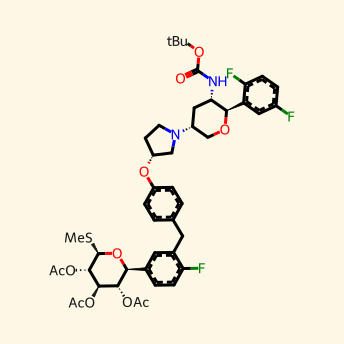 CS[C@H]1O[C@@H](c2ccc(F)c(Cc3ccc(O[C@@H]4CCN([C@H]5CO[C@H](c6cc(F)ccc6F)[C@@H](NC(=O)OC(C)(C)C)C5)C4)cc3)c2)[C@H](OC(C)=O)[C@@H](OC(C)=O)[C@@H]1OC(C)=O